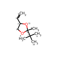 C=CC1COC(C)(C(C)(C)C)O1